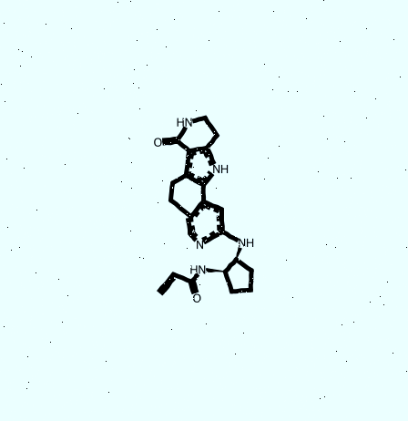 C=CC(=O)N[C@@H]1CCC[C@@H]1Nc1cc2c(cn1)CCc1c-2[nH]c2c1C(=O)NCC2